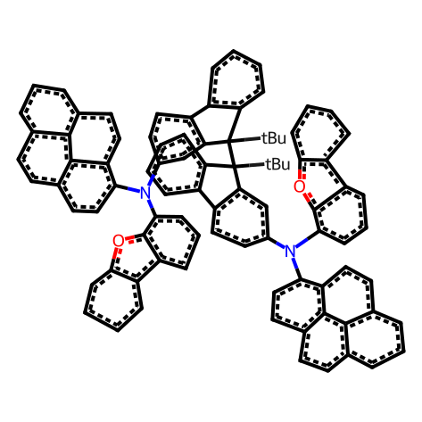 CC(C)(C)C1(C2(C(C)(C)C)c3ccccc3-c3ccc(N(c4ccc5ccc6cccc7ccc4c5c67)c4cccc5c4oc4ccccc45)cc32)c2ccccc2-c2ccc(N(c3ccc4ccc5cccc6ccc3c4c56)c3cccc4c3oc3ccccc34)cc21